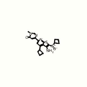 Cn1cnc(-c2cc(C3CCC3)c3c(N)c([S@+]([O-])C4CCC4)sc3n2)cc1=O